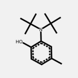 Cc1ccc(O)c(N(C(C)(C)C)C(C)(C)C)c1